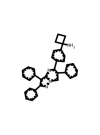 NC1(c2ccc(-c3nc4c(-c5ccccc5)c(-c5ccccc5)nn4cc3-c3ccccc3)cc2)CCC1